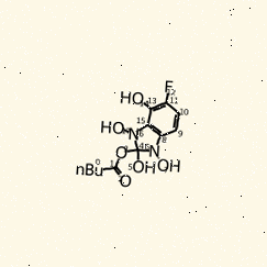 CCCCC(=O)OC1(O)N(O)c2ccc(F)c(O)c2N1O